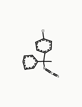 CC(N=C=S)(c1ccccc1)c1ccc(Cl)cc1